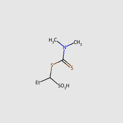 CCC(SC(=S)N(C)C)S(=O)(=O)O